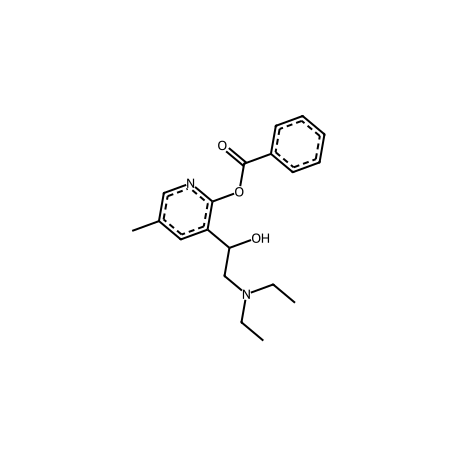 CCN(CC)CC(O)c1cc(C)cnc1OC(=O)c1ccccc1